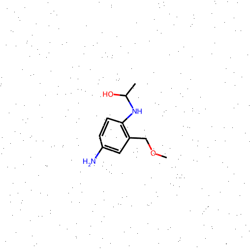 COCc1cc(N)ccc1NC(C)O